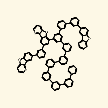 c1ccc(-c2cccc(-c3cccc(-c4cccc(-c5cccc(-c6cccc(-c7cccc(-c8cc(-c9cccc(-c%10cccc(-c%11ccc%12oc%13ccccc%13c%12c%11)c%10)c9)cc(-c9cc(-c%10cccc(-c%11ccc%12oc%13cccnc%13c%12c%11)c%10)cc%10c9oc9cccnc9%10)c8)c7)c6)c5)c4)c3)c2)cc1